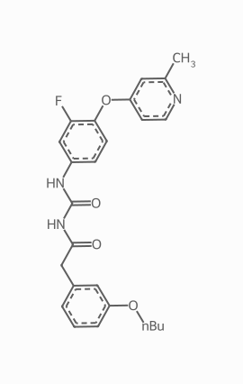 CCCCOc1cccc(CC(=O)NC(=O)Nc2ccc(Oc3ccnc(C)c3)c(F)c2)c1